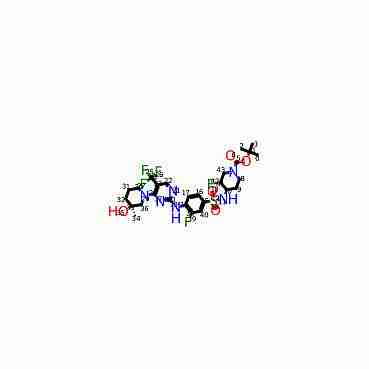 CC(C)(C)OC(=O)N1CC[C@@H](NS(=O)(=O)c2ccc(Nc3ncc(C(F)(F)F)c(N4CCC[C@](C)(O)C4)n3)c(F)c2)[C@@H](F)C1